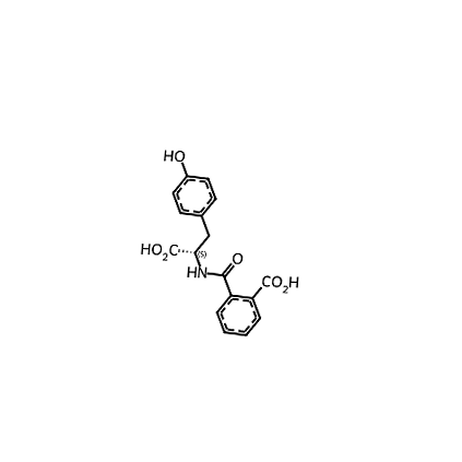 O=C(O)c1ccccc1C(=O)N[C@@H](Cc1ccc(O)cc1)C(=O)O